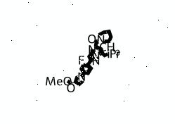 COC(=O)[C@H]1CCN(c2ccc(-c3cc4nc(C(=O)N5CCCCC[C@H]5C)cc(CC(C)C)n4n3)c(F)c2)C1